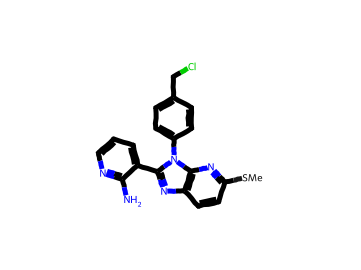 CSc1ccc2nc(-c3cccnc3N)n(-c3ccc(CCl)cc3)c2n1